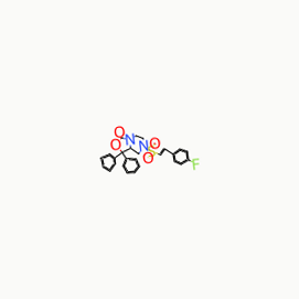 O=C1OC(c2ccccc2)(c2ccccc2)C2CN(S(=O)(=O)/C=C/c3ccc(F)cc3)CCN12